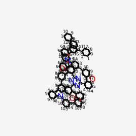 c1ccc(-c2cc(-c3ccccc3)cc(-c3cccc(-c4ccc(-c5nc(-c6cccc7oc8ccccc8c67)nc(-c6cccc7oc8ccc(-c9ccc%10c(c9)c9ccccc9n%10-c9cccc(-c%10ccccc%10)c9)cc8c67)n5)c5c4oc4ccc(-c6ccc7c(c6)c6ccccc6n7-c6cccc(-c7ccccc7)c6)cc45)c3)c2)cc1